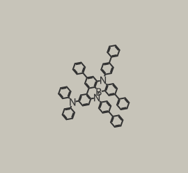 c1ccc(-c2ccc(N3B4c5cc(-c6ccccc6)ccc5N(c5ccc(-c6ccccc6)cc5)c5cc(-c6ccccc6)cc(c54)-c4cc(N(c5ccccc5)c5ccccc5)ccc43)cc2)cc1